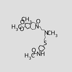 COc1cc2c(cc1OC)CC(=O)N(CCCN(C)CCCSc1ccc(NC(C)=O)cc1)CC2